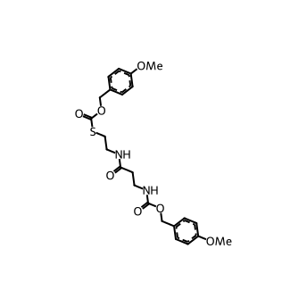 COc1ccc(COC(=O)NCCC(=O)NCCSC(=O)OCc2ccc(OC)cc2)cc1